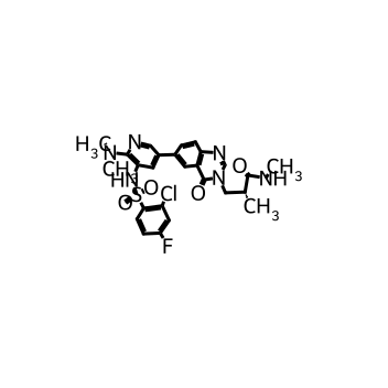 CNC(=O)[C@H](C)Cn1cnc2ccc(-c3cnc(N(C)C)c(NS(=O)(=O)c4ccc(F)cc4Cl)c3)cc2c1=O